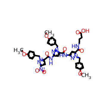 COc1ccc(Cn2nc(NC(=O)c3cc(NC(=O)c4cc([N+](=O)[O-])nn4Cc4ccc(OC)cc4)nn3Cc3ccc(OC)cc3)cc2C(=O)NCCCC(=O)O)cc1